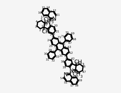 CC12CCCCC1(C)N(c1nccc3ccccc13)c1ccc(-c3ccc4c(-c5ccccc5)c5cc(-c6ccc7c(c6)C6(C)CCCCC6(C)N7c6nccc7ccccc67)ccc5c(-c5ccccc5)c4c3)cc12